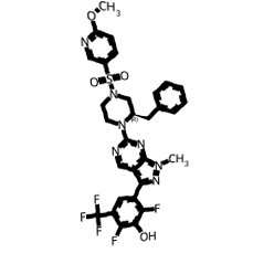 COc1ccc(S(=O)(=O)N2CCN(c3ncc4c(-c5cc(C(F)(F)F)c(F)c(O)c5F)nn(C)c4n3)[C@H](Cc3ccccc3)C2)cn1